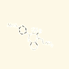 COc1ccc(C2SC3=CCCC=C3N(CCN)C(=O)C2O)cc1